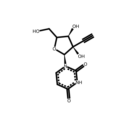 C#C[C@@]1(O)[C@H](O)C(CO)O[C@@H]1n1ccc(=O)[nH]c1=O